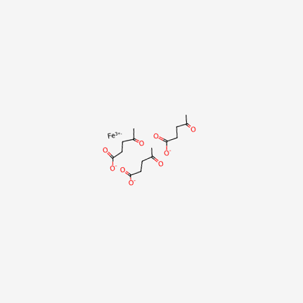 CC(=O)CCC(=O)[O-].CC(=O)CCC(=O)[O-].CC(=O)CCC(=O)[O-].[Fe+3]